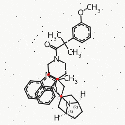 COc1cccc(C(C)(C)C(=O)N2CCC(CCN3[C@@H]4CC[C@H]3C[C@@H](n3c(C)nc5ccccc53)C4)(c3ccccc3)CC2)c1